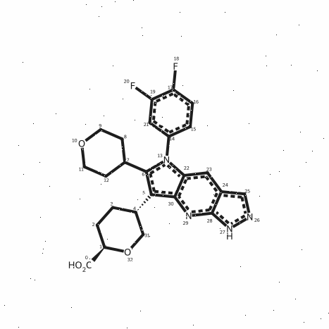 O=C(O)[C@H]1CC[C@H](c2c(C3CCOCC3)n(-c3ccc(F)c(F)c3)c3cc4cn[nH]c4nc23)CO1